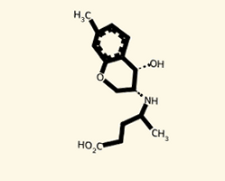 Cc1ccc2c(c1)OC[C@@H](NC(C)CCC(=O)O)[C@H]2O